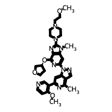 COCCN1CCN(c2nc3c(O[C@@H]4CCOC4)nc(-n4ncc5c(C)nc(-c6cnccc6OC)cc54)cc3n2C)CC1